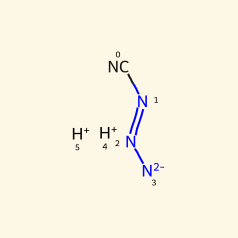 N#CN=N[N-2].[H+].[H+]